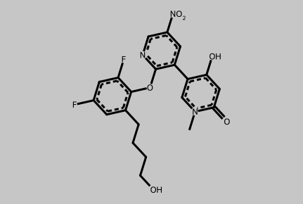 Cn1cc(-c2cc([N+](=O)[O-])cnc2Oc2c(F)cc(F)cc2CCCCO)c(O)cc1=O